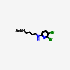 CC(=O)NCCCCNc1ccc(Br)c(Br)n1